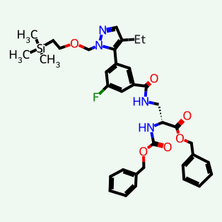 CCc1cnn(COCC[Si](C)(C)C)c1-c1cc(F)cc(C(=O)NC[C@@H](NC(=O)OCc2ccccc2)C(=O)OCc2ccccc2)c1